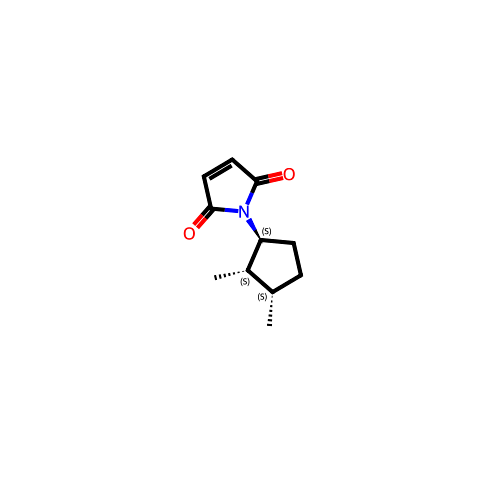 C[C@H]1[C@@H](C)CC[C@@H]1N1C(=O)C=CC1=O